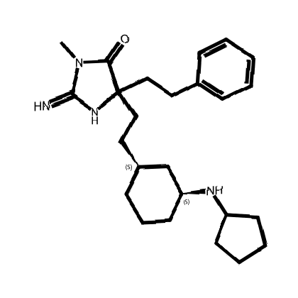 CN1C(=N)NC(CCc2ccccc2)(CC[C@@H]2CCC[C@H](NC3CCCC3)C2)C1=O